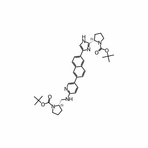 CC(C)(C)OC(=O)N1CCC[C@H]1CNc1ccc(-c2ccc3cc(-c4c[nH]c([C@@H]5CCCN5C(=O)OC(C)(C)C)n4)ccc3c2)cn1